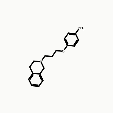 Nc1ccc(OCCCN2CCc3ccccc3C2)cc1